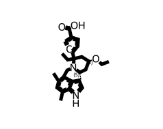 CCO[C@@H]1C[C@H](C)N(Cc2c(C)cc(C)c3[nH]ccc23)C(CC)(c2ccc(C(=O)O)cc2)C1